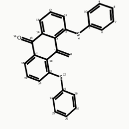 C=C1c2c(Sc3ccccc3)cccc2C(=O)c2cccc(Sc3ccccc3)c21